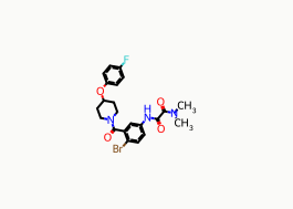 CN(C)C(=O)C(=O)Nc1ccc(Br)c(C(=O)N2CCC(Oc3ccc(F)cc3)CC2)c1